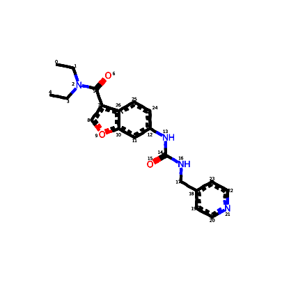 CCN(CC)C(=O)c1coc2cc(NC(=O)NCc3ccncc3)ccc12